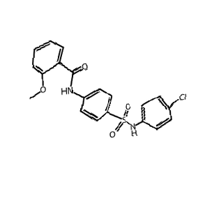 COc1ccccc1C(=O)Nc1ccc(S(=O)(=O)Nc2ccc(Cl)cc2)cc1